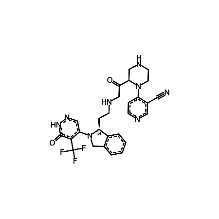 N#Cc1cnccc1N1CCNCC1C(=O)CNCC[C@H]1c2ccccc2CN1c1cn[nH]c(=O)c1C(F)(F)F